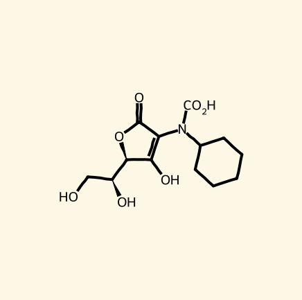 O=C1O[C@H]([C@@H](O)CO)C(O)=C1N(C(=O)O)C1CCCCC1